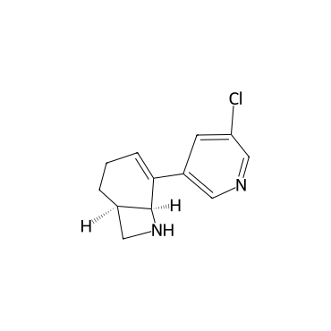 Clc1cncc(C2=CCC[C@@H]3CN[C@H]23)c1